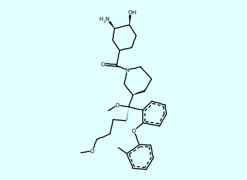 COCCCC[C@@](OC)(c1ccccc1Oc1ccccc1C)[C@@H]1CCCN(C(=O)C2CC[C@H](O)[C@H](N)C2)C1